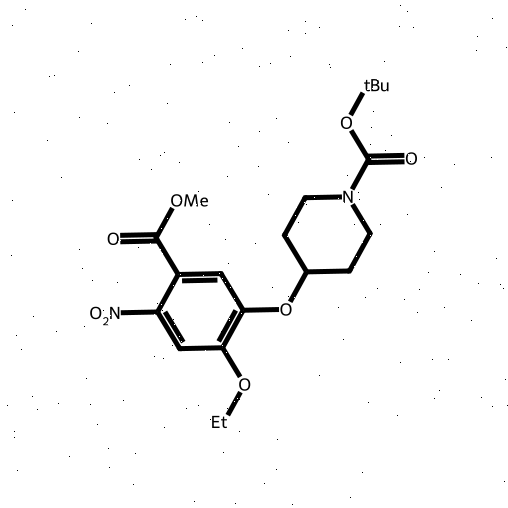 CCOc1cc([N+](=O)[O-])c(C(=O)OC)cc1OC1CCN(C(=O)OC(C)(C)C)CC1